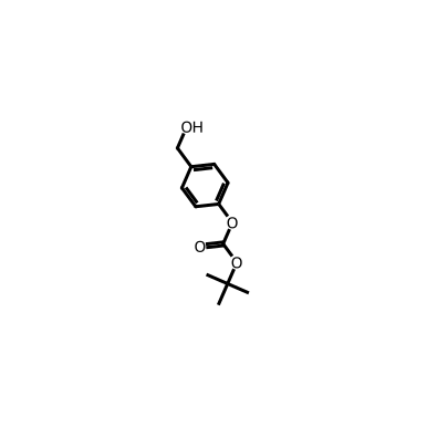 CC(C)(C)OC(=O)Oc1ccc(CO)cc1